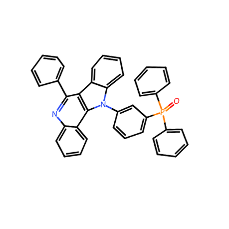 O=P(c1ccccc1)(c1ccccc1)c1cccc(-n2c3ccccc3c3c(-c4ccccc4)nc4ccccc4c32)c1